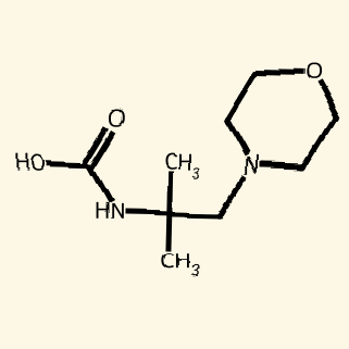 CC(C)(CN1CCOCC1)NC(=O)O